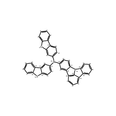 c1ccc2c(c1)oc1cc(N(c3ccc4sc5ccccc5c4c3)c3ccc4c(c3)c3cccc5c6ccccc6n4c53)ccc12